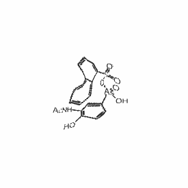 CC(=O)Nc1cc([As](=O)(O)OS(=O)(=O)c2cccc3ccccc23)ccc1O